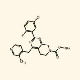 Cc1cnccc1Cc1nc(-c2cc(Cl)ccc2F)nc2c1CCN(C(=O)OC(C)(C)C)C2